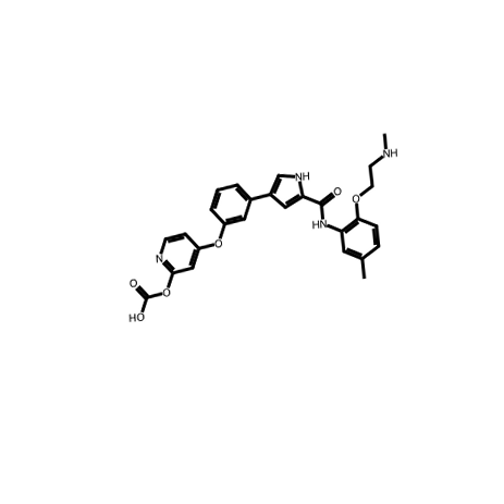 CNCCOc1ccc(C)cc1NC(=O)c1cc(-c2cccc(Oc3ccnc(OC(=O)O)c3)c2)c[nH]1